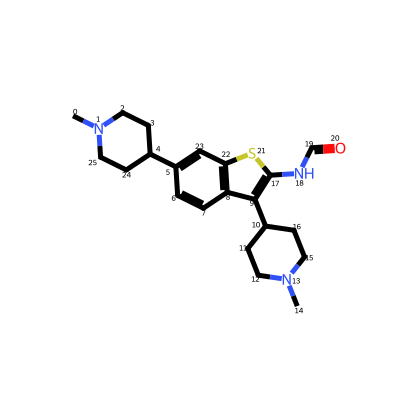 CN1CCC(c2ccc3c(C4CCN(C)CC4)c(NC=O)sc3c2)CC1